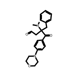 CN(C)C(CC=O)(Cc1ccccc1)C(=O)c1ccc(N2CCOCC2)cc1